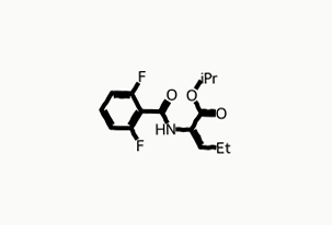 CCC=C(NC(=O)c1c(F)cccc1F)C(=O)OC(C)C